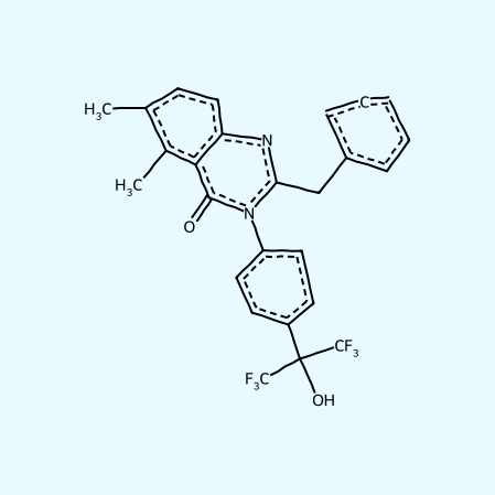 Cc1ccc2nc(Cc3ccccc3)n(-c3ccc(C(O)(C(F)(F)F)C(F)(F)F)cc3)c(=O)c2c1C